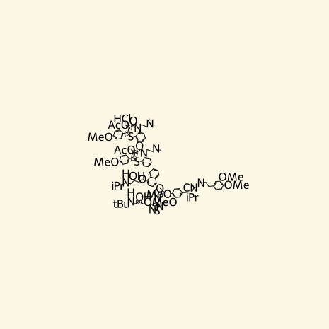 CC(C)(C)NC[C@H](O)COc1nsnc1N1CCOCC1.CC(C)NCC(O)COc1cccc2ccccc12.COc1ccc(CCN(C)CCCC(C#N)(c2ccc(OC)c(OC)c2)C(C)C)cc1OC.COc1ccc([C@@H]2Sc3ccccc3N(CCN(C)C)C(=O)[C@@H]2OC(C)=O)cc1.COc1ccc([C@@H]2Sc3ccccc3N(CCN(C)C)C(=O)[C@@H]2OC(C)=O)cc1.Cl